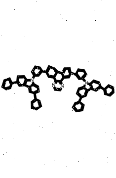 c1ccc(-c2ccc3c(c2)c2cc(-c4ccccc4)ccc2n3-c2cccc(-c3ccc4c5ccc(-c6cccc(-n7c8ccc(-c9ccccc9)cc8c8cc(-c9ccccc9)ccc87)c6)cc5c5nccnc5c4c3)c2)cc1